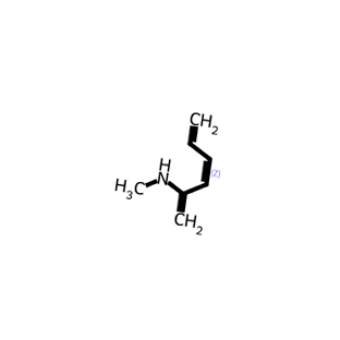 C=C/C=C\C(=C)NC